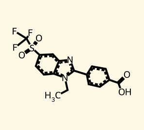 CCn1c(-c2ccc(C(=O)O)cc2)nc2cc(S(=O)(=O)C(F)(F)F)ccc21